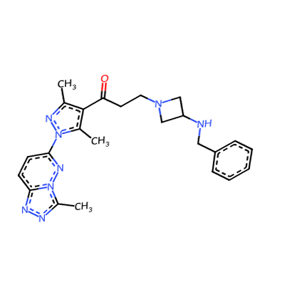 Cc1nn(-c2ccc3nnc(C)n3n2)c(C)c1C(=O)CCN1CC(NCc2ccccc2)C1